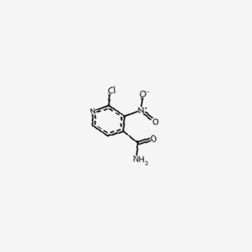 NC(=O)c1ccnc(Cl)c1[N+](=O)[O-]